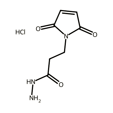 Cl.NNC(=O)CCN1C(=O)C=CC1=O